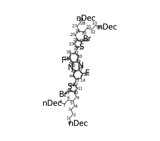 CCCCCCCCCCCCCCC(CCCCCCCCCCCC)Cc1cc(-c2cc(F)c3nc4cc(-c5cc(CC(CCCCCCCCCCCC)CCCCCCCCCCCCCC)c(Br)s5)cc(F)c4nc3c2)sc1Br